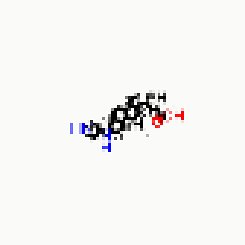 C[C@H](CCC(=O)O)[C@H]1CCC2C3CC[C@@H]4C[C@H](NC5CCNCC5)CC[C@]4(C)C3CC[C@@]21C